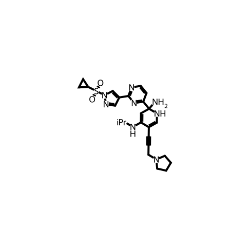 CC(C)NC1=CC(N)(c2ccnc(-c3cnn(S(=O)(=O)C4CC4)c3)n2)NC=C1C#CCN1CCCC1